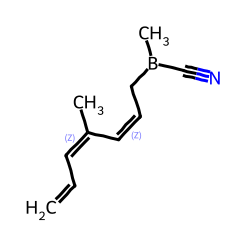 C=C/C=C(C)\C=C/CB(C)C#N